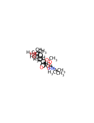 CC(=O)O[C@@H]1C[C@@]23COC[C@@](C)([C@@H]2CC[C@H]2C3=CC[C@@]3(C)[C@H](C(=O)O)[C@@](C)([C@H](C)C(C)C)CC[C@]23C)[C@H]1OC(=O)CNCC(C)(C)C